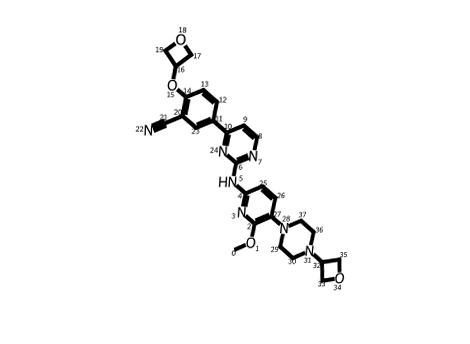 COc1nc(Nc2nccc(-c3ccc(OC4COC4)c(C#N)c3)n2)ccc1N1CCN(C2COC2)CC1